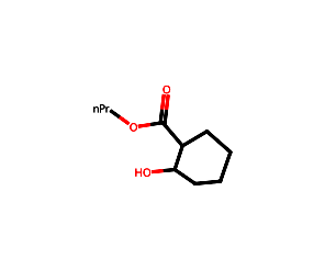 CCCOC(=O)C1CCCCC1O